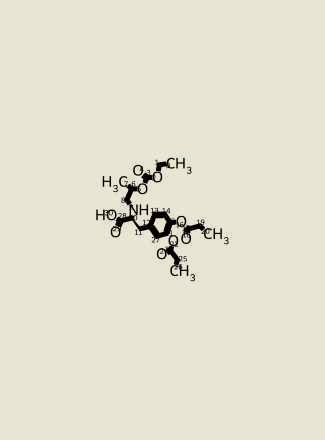 CCOC(=O)OC(C)CN[C@@H](Cc1ccc(OC(=O)CC)c(OC(=O)CC)c1)C(=O)O